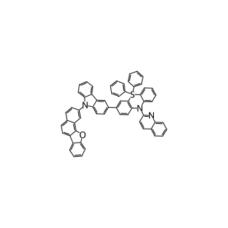 c1ccc(S2(c3ccccc3)c3ccccc3N(c3ccc4ccccc4n3)c3ccc(-c4ccc5c(c4)c4ccccc4n5-c4ccc5ccc6c7ccccc7oc6c5c4)cc32)cc1